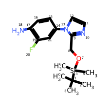 CC(C)(C)[Si](C)(C)OCc1nccn1-c1ccc(N)c(F)c1